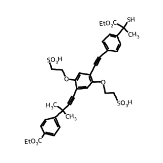 CCOC(=O)c1ccc(C(C)(C)C#Cc2cc(OCCS(=O)(=O)O)c(C#Cc3ccc(C(C)(S)C(=O)OCC)cc3)cc2OCCS(=O)(=O)O)cc1